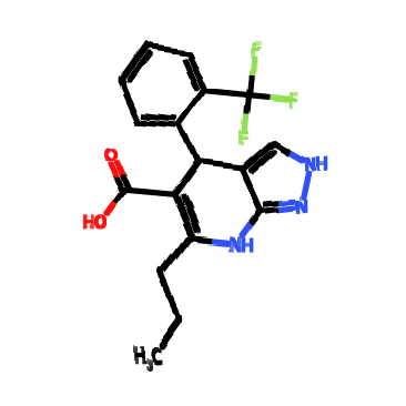 CCCC1=C(C(=O)O)C(c2ccccc2C(F)(F)F)c2c[nH]nc2N1